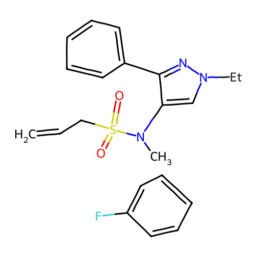 C=CCS(=O)(=O)N(C)c1cn(CC)nc1-c1ccccc1.Fc1ccccc1